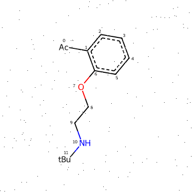 CC(=O)c1ccccc1OCCNC(C)(C)C